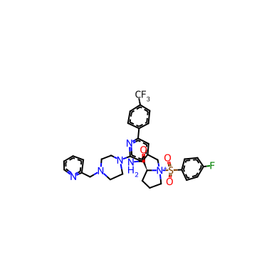 NC(=O)[C@@H]1CCC[N+]1(Cc1cc(-c2ccc(C(F)(F)F)cc2)nc(N2CCN(Cc3ccccn3)CC2)c1)S(=O)(=O)c1ccc(F)cc1